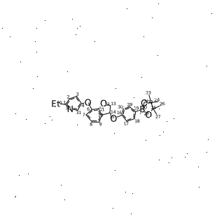 CCc1ccc(Oc2cccc3c2OCC3Oc2ccc(B3OC(C)(C)C(C)(C)O3)cc2)cn1